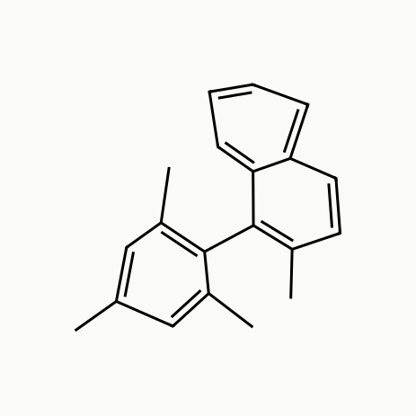 Cc1cc(C)c(-c2c(C)ccc3ccccc23)c(C)c1